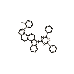 Cc1ccccc1-n1ccc2ccc3c(ccc4c3c3ccccc3n4-c3nc(-c4ccccc4)nc(-c4ccccc4)n3)c21